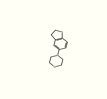 c1cc2c(cc1N1CCOCC1)CCS2